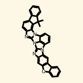 CC1(C)c2ccccc2-c2ccc3nc4n(c5cccc6c5n4c4nc5cc7oc8ccccc8c7cc5n64)c3c21